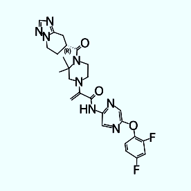 C=C(C(=O)Nc1cnc(Oc2ccc(F)cc2F)cn1)N1CCN(C(=O)[C@@H]2CCn3ncnc3C2)C(C)(C)C1